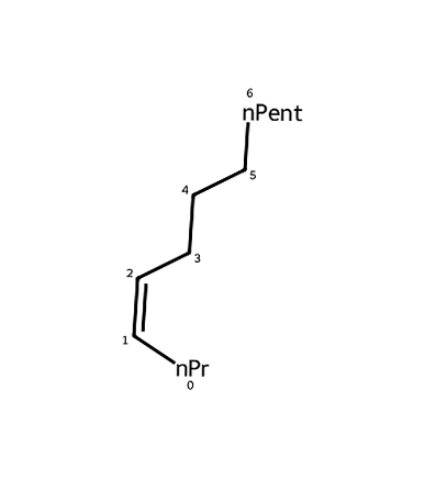 CCC/C=C\CCCCCCCC